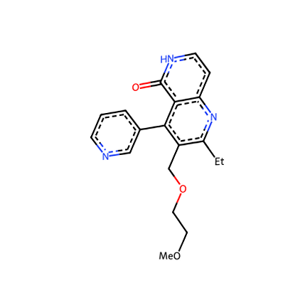 CCc1nc2cc[nH]c(=O)c2c(-c2cccnc2)c1COCCOC